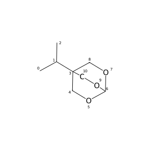 CC(C)C12COC(OC1)OC2